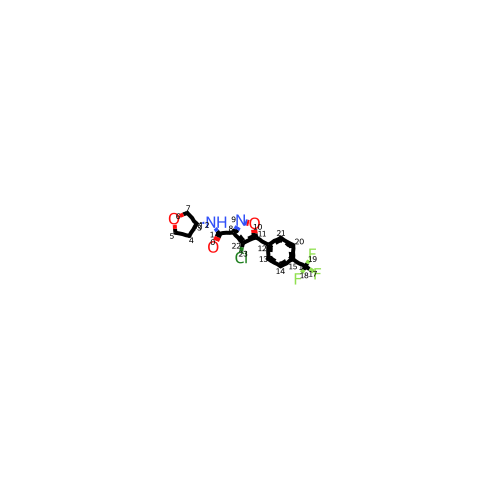 O=C(N[C@@H]1CCOC1)c1noc(-c2ccc(C(F)(F)F)cc2)c1Cl